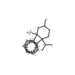 CC1CCC(c2ccccc2)(C(C)C)C(P)(c2ccccc2)C1